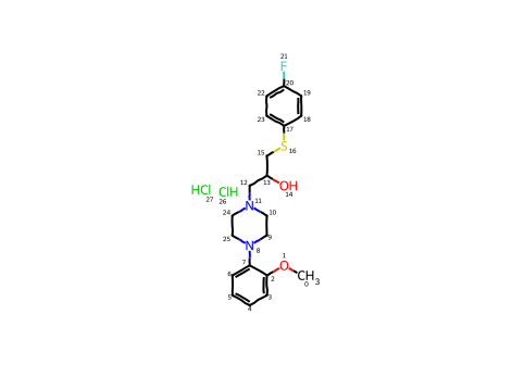 COc1ccccc1N1CCN(CC(O)CSc2ccc(F)cc2)CC1.Cl.Cl